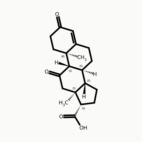 C[C@]12CC(=O)[C@H]3[C@@H](CCC4=CC(=O)CC[C@@]43C)[C@@H]1CC[C@@H]2C(=O)O